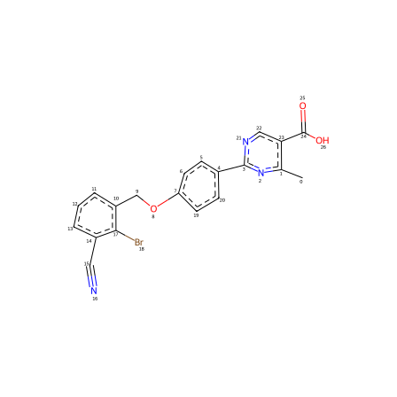 Cc1nc(-c2ccc(OCc3cccc(C#N)c3Br)cc2)ncc1C(=O)O